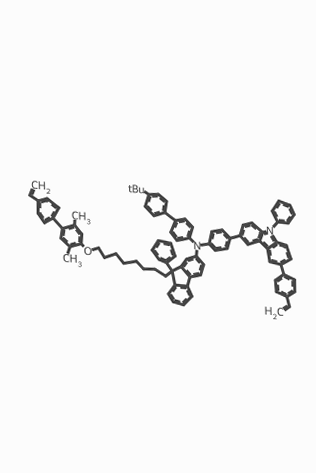 C=Cc1ccc(-c2ccc3c(c2)c2cc(-c4ccc(N(c5ccc(-c6ccc(C(C)(C)C)cc6)cc5)c5ccc6c(c5)C(CCCCCCCCOc5cc(C)c(-c7ccc(C=C)cc7)cc5C)(c5ccccc5)c5ccccc5-6)cc4)ccc2n3-c2ccccc2)cc1